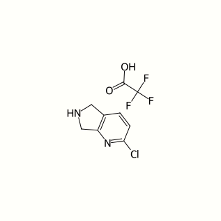 Clc1ccc2c(n1)CNC2.O=C(O)C(F)(F)F